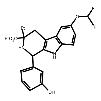 CCOC(=O)C1(CC)Cc2c([nH]c3ccc(OC(F)F)cc23)C(c2cccc(O)c2)N1